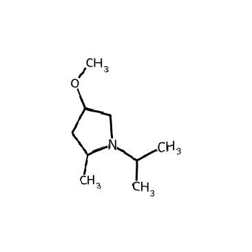 COC1CC(C)N(C(C)C)C1